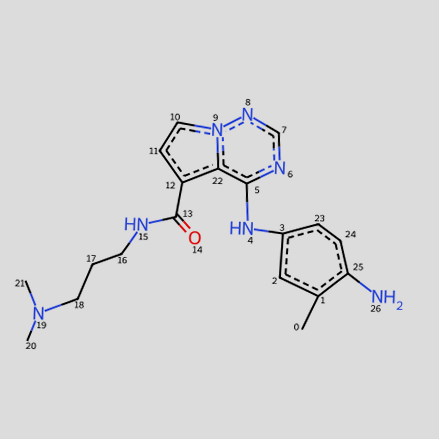 Cc1cc(Nc2ncnn3ccc(C(=O)NCCCN(C)C)c23)ccc1N